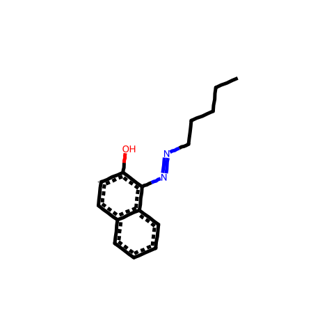 CCCCCN=Nc1c(O)[c]cc2ccccc12